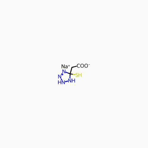 O=C([O-])CC1(S)N=NNN1.[Na+]